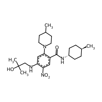 CC1CCN(c2cc(NCC(C)(C)O)c([N+](=O)[O-])cc2C(=O)N[C@H]2CC[C@H](C)CC2)CC1